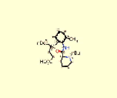 CCCCCCCCCCCCCC(=O)O.CCCCN1CCCCC1C(=O)Nc1c(C)cccc1C